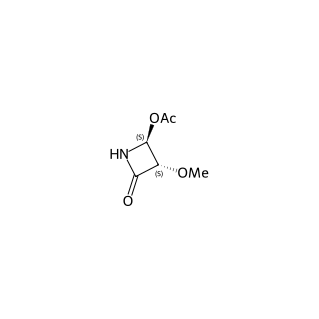 CO[C@@H]1C(=O)N[C@H]1OC(C)=O